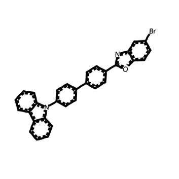 Brc1ccc2oc(-c3ccc(-c4ccc(-n5c6ccccc6c6ccccc65)cc4)cc3)nc2c1